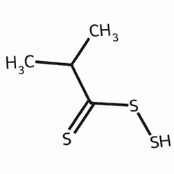 CC(C)C(=S)SS